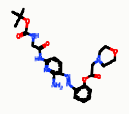 CC(C)(C)OC(=O)NCC(=O)Nc1ccc(N=Nc2ccccc2OC(=O)CN2CCOCC2)c(N)n1